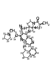 C=C(F)C(=O)N1CC[C@@H]2[C@H]1CN2c1c(C#N)c(OC[C@@H]2CCCN2C)nc2c(F)c(-c3cccc4c3CCCC4)ncc12